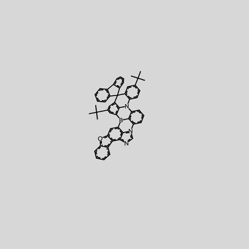 CC(C)(C)c1ccc2c(c1)C1(c3ccccc3-c3ccccc31)c1cc(C(C)(C)C)cc3c1N2c1cccc2c1B3c1cc3oc4ccccc4c3c3ncn-2c13